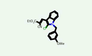 CCOC(=O)C(C#N)=Cc1c(Cl)n(Cc2cccc(OC)c2)c2ccccc12